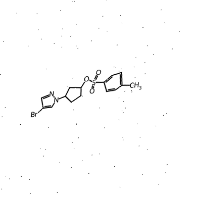 Cc1ccc(S(=O)(=O)OC2CCC(n3cc(Br)cn3)C2)cc1